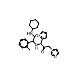 Cc1ccccc1C(NC(C(=O)Cn1ccnc1)c1cccs1)C(=O)NC1CCCCC1